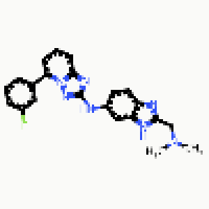 CN(C)Cc1nc2ccc(Nc3nc4cccc(-c5cccc(F)c5)n4n3)cc2[nH]1